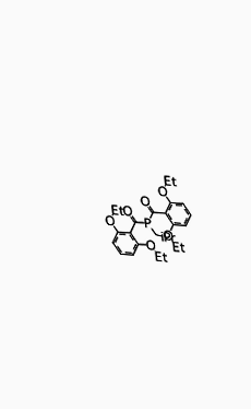 CCOc1cccc(OCC)c1C(=O)P(CC(C)C)C(=O)c1c(OCC)cccc1OCC